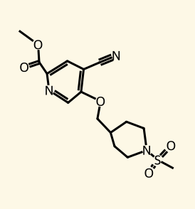 COC(=O)c1cc(C#N)c(OCC2CCN(S(C)(=O)=O)CC2)cn1